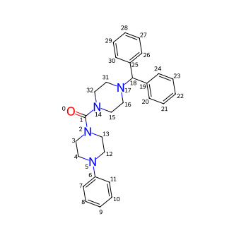 O=C(N1CCN(c2ccccc2)CC1)N1CCN(C(c2ccccc2)c2ccccc2)CC1